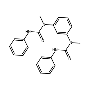 CN(C(=O)Nc1ccccc1)c1cccc(N(C)C(=O)Nc2ccccc2)c1